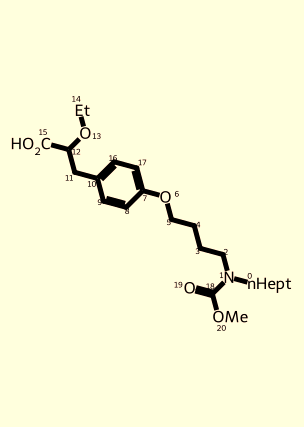 CCCCCCCN(CCCCOc1ccc(CC(OCC)C(=O)O)cc1)C(=O)OC